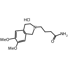 COc1cc2c(cc1OC)CN(CCCC(N)=O)CC2.Cl